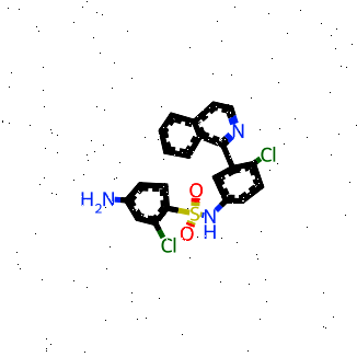 Nc1ccc(S(=O)(=O)Nc2ccc(Cl)c(-c3nccc4ccccc34)c2)c(Cl)c1